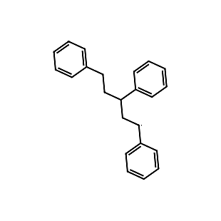 [CH](CC(CCc1ccccc1)c1ccccc1)c1ccccc1